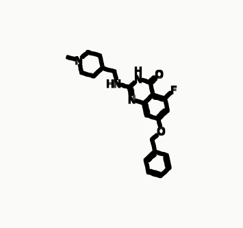 CN1CCC(CNc2nc3cc(OCc4ccccc4)cc(F)c3c(=O)[nH]2)CC1